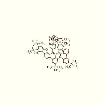 CC(C)(C)c1ccc(N2B3c4c(cc(C(C)(C)C)cc4N(c4ccc(C(C)(C)C)cc4-c4ccccc4)c4sc5cc6c(cc5c43)C(C)(C)CCC6(C)C)-c3ccc4c(oc5cc6c(cc54)C(C)(C)CCC6(C)C)c32)cc1